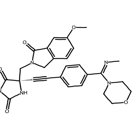 CN=C(c1ccc(C#C[C@]2(CN3Cc4ccc(OC)cc4C3=O)NC(=O)NC2=O)cc1)N1CCOCC1